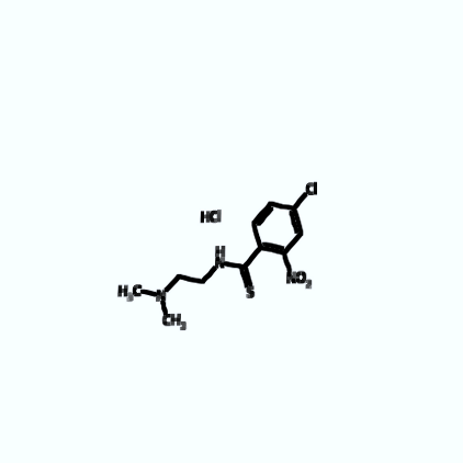 CN(C)CCNC(=S)c1ccc(Cl)cc1[N+](=O)[O-].Cl